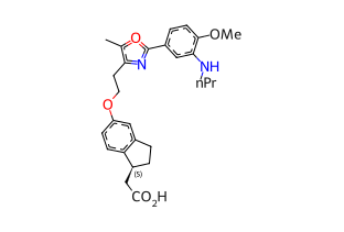 CCCNc1cc(-c2nc(CCOc3ccc4c(c3)CC[C@H]4CC(=O)O)c(C)o2)ccc1OC